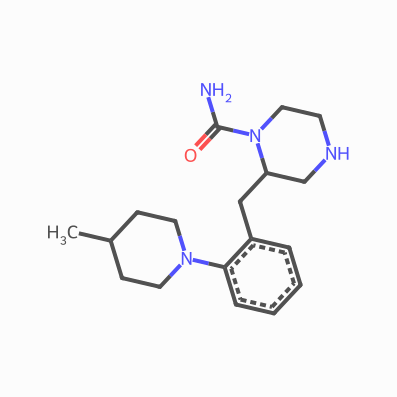 CC1CCN(c2ccccc2CC2CNCCN2C(N)=O)CC1